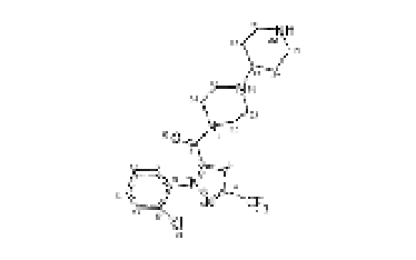 O=C(c1cc(C(F)(F)F)nn1-c1ccccc1Cl)N1CCN(C2CCNCC2)CC1